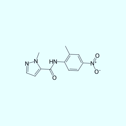 Cc1cc([N+](=O)[O-])ccc1NC(=O)c1ccnn1C